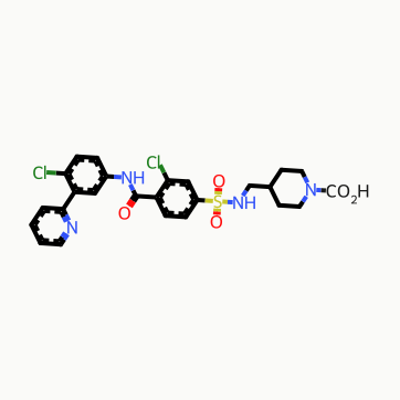 O=C(Nc1ccc(Cl)c(-c2ccccn2)c1)c1ccc(S(=O)(=O)NCC2CCN(C(=O)O)CC2)cc1Cl